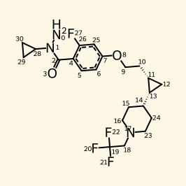 NN(C(=O)c1ccc(OCC[C@@H]2C[C@@H]2C2CCN(CC(F)(F)F)CC2)cc1F)C1CC1